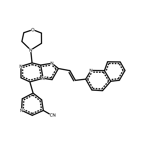 N#Cc1cncc(-c2cnc(N3CCOCC3)c3nc(C=Cc4ccc5ccccc5n4)cn23)c1